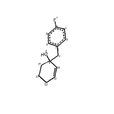 OC1(Cc2ccc(F)cc2)C=CCCC1